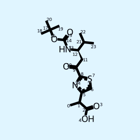 CC(C(=O)O)c1csc(C(=O)C[C@@H](NC(=O)OC(C)(C)C)C(C)C)n1